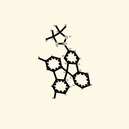 Cc1ccc2c(c1)-c1cc(C)ccc1C21c2ccccc2-c2ccc(B3OC(C)(C)C(C)(C)O3)cc21